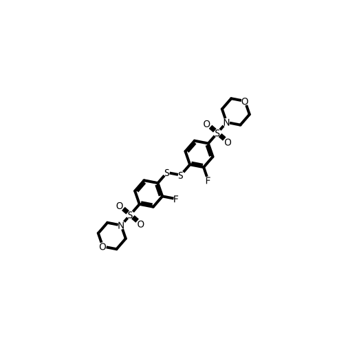 O=S(=O)(c1ccc(SSc2ccc(S(=O)(=O)N3CCOCC3)cc2F)c(F)c1)N1CCOCC1